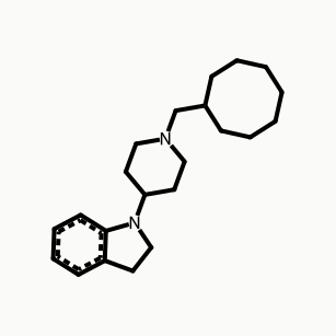 c1ccc2c(c1)CCN2C1CCN(CC2CCCCCCC2)CC1